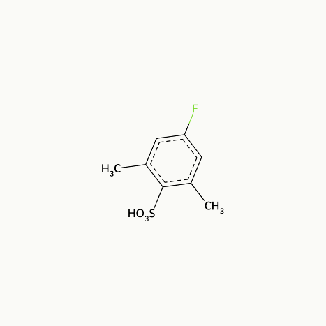 Cc1cc(F)cc(C)c1S(=O)(=O)O